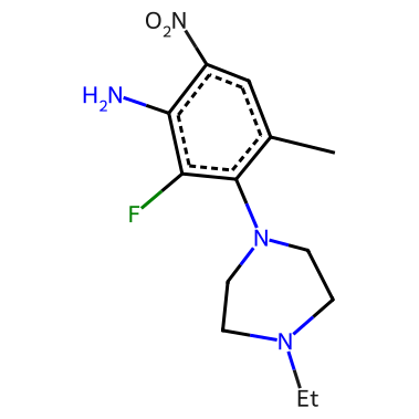 CCN1CCN(c2c(C)cc([N+](=O)[O-])c(N)c2F)CC1